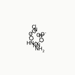 Nc1nc(Nc2ccc(Oc3ccnc(Cl)c3)cc2)cc(-c2cccc([N+](=O)[O-])c2)n1